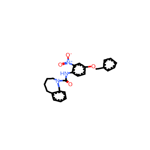 O=C(Nc1ccc(OCc2ccccc2)cc1[N+](=O)[O-])N1CCCCc2ccccc21